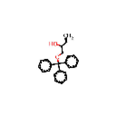 C=CC(O)COC(c1ccccc1)(c1ccccc1)c1ccccc1